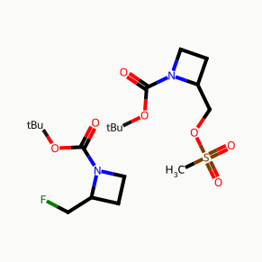 CC(C)(C)OC(=O)N1CCC1CF.CC(C)(C)OC(=O)N1CCC1COS(C)(=O)=O